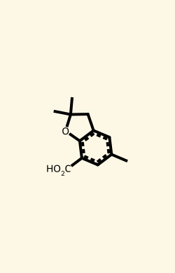 Cc1cc2c(c(C(=O)O)c1)OC(C)(C)C2